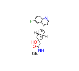 CC(C)(C)NC(=O)CC1(O)C[C@H]2C[C@@H](c3ccnc4ccc(F)cc34)C[C@H]2C1